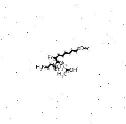 CC(O)C(=O)O.CCCCCCCCCCCCCCCCC(CC)C(=O)N(CC)CCN